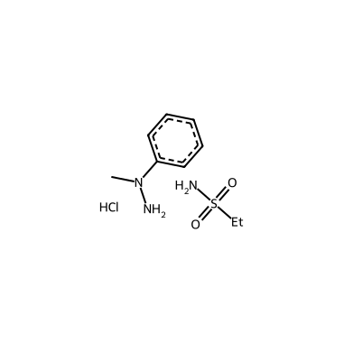 CCS(N)(=O)=O.CN(N)c1ccccc1.Cl